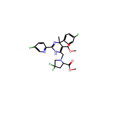 COC(=O)C1=C(CN2CC(F)(F)CC2C(=O)OC)NC(c2ccc(F)cn2)=NC1(C)c1ccc(F)cc1